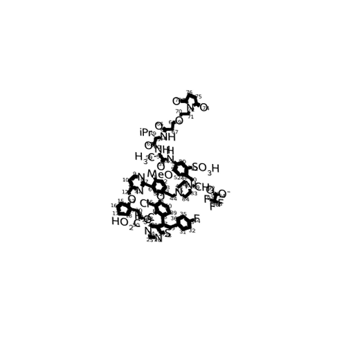 COc1ccccc1-c1nccc(COc2ccccc2C[C@@H](Oc2ncnc3sc(-c4ccc(F)cc4)c(-c4ccc(OCCN5CC[N+](C)(Cc6ccc(NC(=O)[C@H](C)NC(=O)[C@@H](NC(=O)CCOCCN7C(=O)C=CC7=O)C(C)C)cc6S(=O)(=O)O)CC5)c(Cl)c4C)c23)C(=O)O)n1.O=C([O-])C(F)(F)F